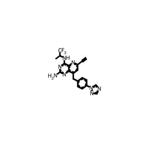 C#Cc1cc(Cc2ccc(-n3cncn3)cc2)c2nc(N)nc(NC(C)C(F)(F)F)c2n1